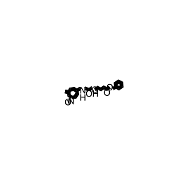 C=C1C=C=C(CNCC(O)COCCCC(=O)OCc2ccccc2)/C=C\C(N=O)C1